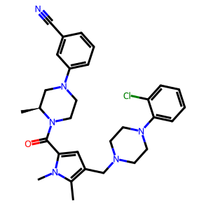 Cc1c(CN2CCN(c3ccccc3Cl)CC2)cc(C(=O)N2CCN(c3cccc(C#N)c3)C[C@@H]2C)n1C